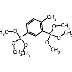 CO[Si](OC)(OC)c1ccc(C)c([Si](OC)(OC)OC)c1